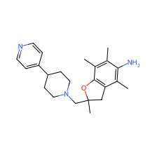 Cc1c(C)c2c(c(C)c1N)CC(C)(CN1CCC(c3ccncc3)CC1)O2